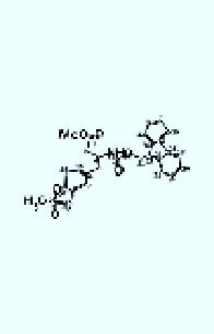 COC(=O)CC(Cc1ccc(OS(C)(=O)=O)cc1)NC(=O)OCC1c2ccccc2-c2ccccc21